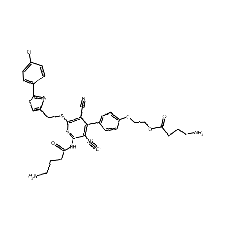 [C-]#[N+]c1c(NC(=O)CCCN)nc(SCc2csc(-c3ccc(Cl)cc3)n2)c(C#N)c1-c1ccc(OCCOC(=O)CCCN)cc1